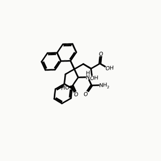 NC(=O)NC(C(=O)O)C(Cc1ccccc1)(CC(O)C(=O)O)c1cccc2ccccc12